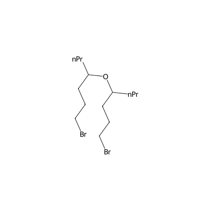 CCCC(CCCBr)OC(CCC)CCCBr